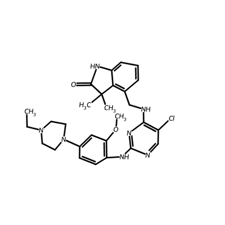 CCN1CCN(c2ccc(Nc3ncc(Cl)c(NCc4cccc5c4C(C)(C)C(=O)N5)n3)c(OC)c2)CC1